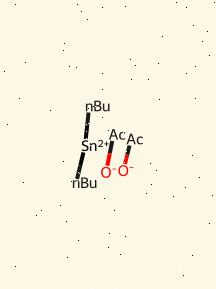 CC(=O)[O-].CC(=O)[O-].CCC[CH2][Sn+2][CH2]CCC